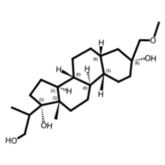 COC[C@@]1(O)CC[C@H]2[C@H](CC[C@@H]3[C@@H]2CC[C@@]2(C)[C@H]3CC[C@]2(O)C(C)CO)C1